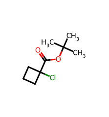 CC(C)(C)OC(=O)C1(Cl)CCC1